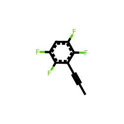 CC#Cc1c(F)c(F)cc(F)c1F